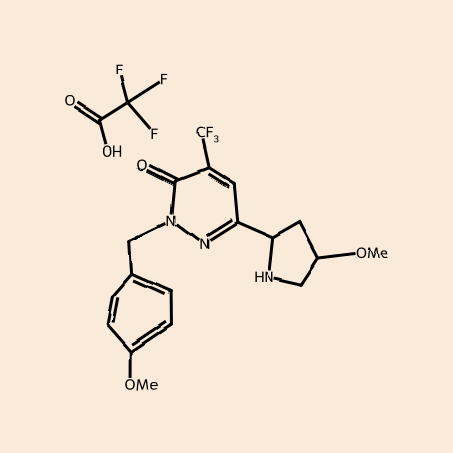 COc1ccc(Cn2nc(C3CC(OC)CN3)cc(C(F)(F)F)c2=O)cc1.O=C(O)C(F)(F)F